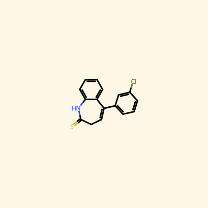 S=C1CC=C(c2cccc(Cl)c2)c2ccccc2N1